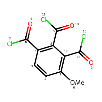 COc1ccc(C(=O)Cl)c(C(=O)Cl)c1C(=O)Cl